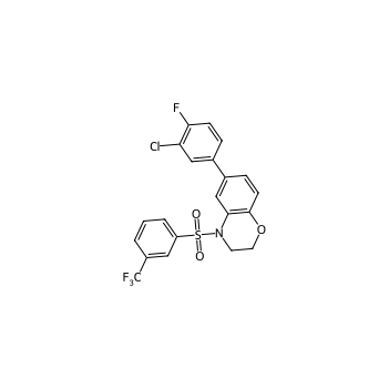 O=S(=O)(c1cccc(C(F)(F)F)c1)N1CCOc2ccc(-c3ccc(F)c(Cl)c3)cc21